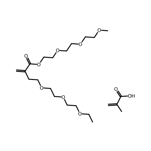 C=C(C)C(=O)O.C=C(CCOCCOCCOCC)C(=O)OCCOCCOCCOC